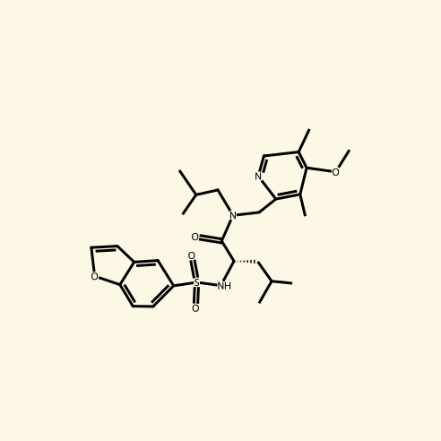 COc1c(C)cnc(CN(CC(C)C)C(=O)[C@H](CC(C)C)NS(=O)(=O)c2ccc3occc3c2)c1C